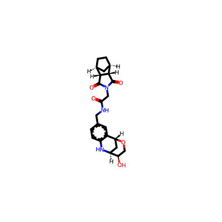 O=C(CN1C(=O)[C@@H]2[C@H]3CC[C@H](C3)[C@@H]2C1=O)NCc1ccc2c(c1)[C@H]1C[C@H](N2)[C@H](O)CO1